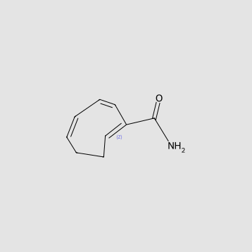 NC(=O)/C1=C\CCC=CC=C1